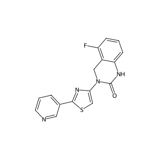 O=C1Nc2cccc(F)c2CN1c1csc(-c2cccnc2)n1